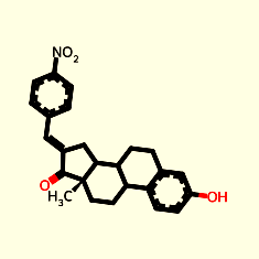 C[C@]12CCC3c4ccc(O)cc4CCC3C1C/C(=C\c1ccc([N+](=O)[O-])cc1)C2=O